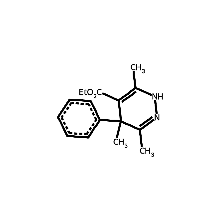 CCOC(=O)C1=C(C)NN=C(C)C1(C)c1ccccc1